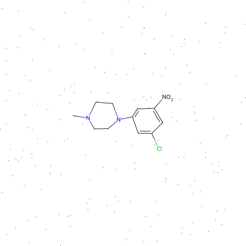 CN1CCN(c2cc(Cl)cc([N+](=O)[O-])c2)CC1